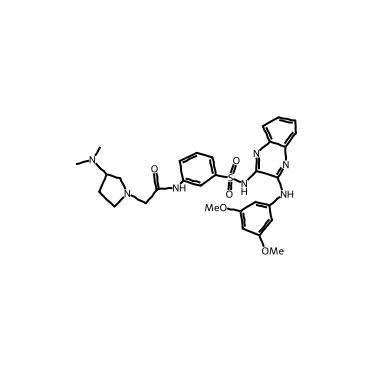 COc1cc(Nc2nc3ccccc3nc2NS(=O)(=O)c2cccc(NC(=O)CN3CCC(N(C)C)C3)c2)cc(OC)c1